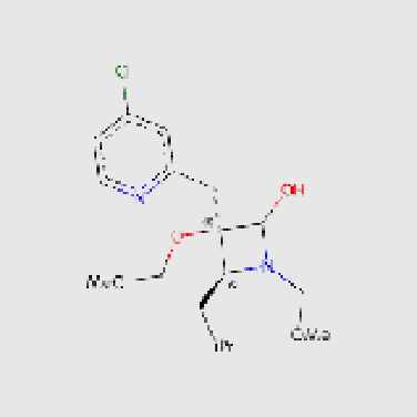 COCO[C@@]1(Cc2cc(Cl)ccn2)C(O)N(COC)[C@H]1CC(C)C